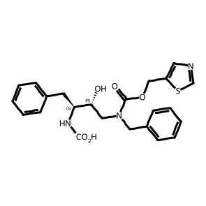 O=C(O)N[C@@H](Cc1ccccc1)[C@H](O)CN(Cc1ccccc1)C(=O)OCc1cncs1